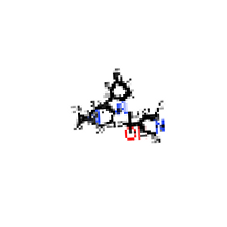 Cc1ccc2c(c1)c1c(n2CC(C)(O)c2ccnc(C)c2)CC2CCC1N2C1CC1